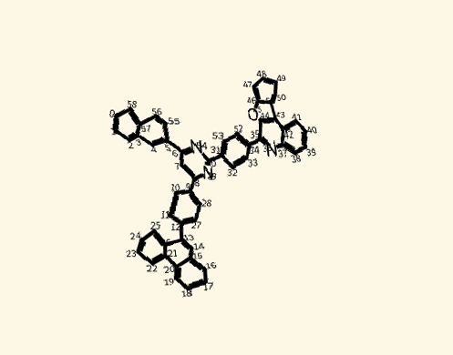 c1ccc2cc(-c3cc(-c4ccc(-c5cc6ccccc6c6ccccc56)cc4)nc(-c4ccc(-c5nc6ccccc6c6c5oc5ccccc56)cc4)n3)ccc2c1